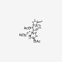 C=C1CCC2C(OC(C)=O)C([C@@]3(C)CC[C@H](OC(C)=O)C[C@@H]3CCC#N)CCC12C